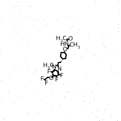 CC(=O)N[C@@H](C)CO[C@H]1CC[C@H](CCc2nc3c(F)c(F)c(OCC(F)F)c(F)c3n2C)CC1